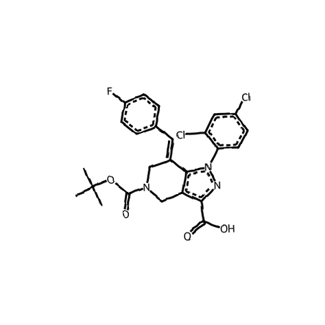 CC(C)(C)OC(=O)N1CC(=Cc2ccc(F)cc2)c2c(c(C(=O)O)nn2-c2ccc(Cl)cc2Cl)C1